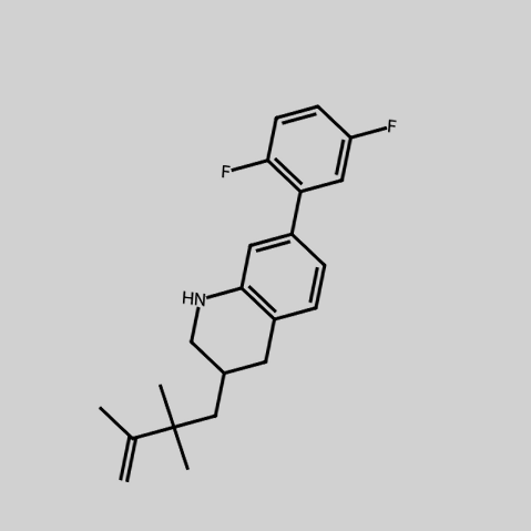 C=C(C)C(C)(C)CC1CNc2cc(-c3cc(F)ccc3F)ccc2C1